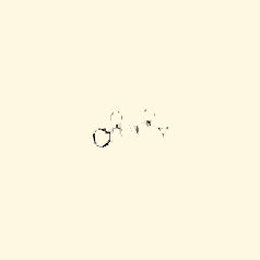 O=C(OCOC(=O)C1CC1)c1ccccc1